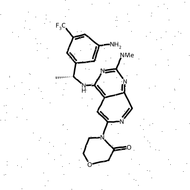 CNc1nc(N[C@H](C)c2cc(N)cc(C(F)(F)F)c2)c2cc(N3CCOCC3=O)ncc2n1